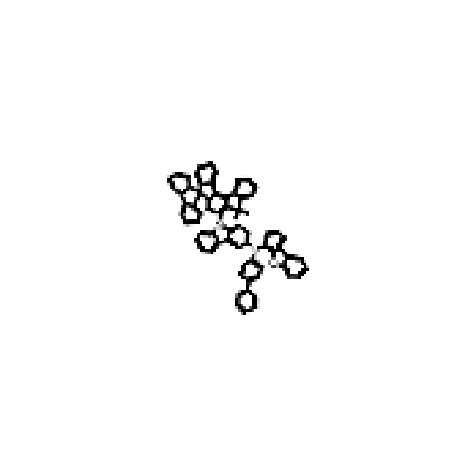 CC1(C)c2ccccc2-c2c3c(cc(-n4c5ccccc5c5cc(N(c6ccc(-c7ccccc7)cc6)c6cccc7c6oc6ccccc67)ccc54)c21)C1(c2ccccc2-3)c2ccccc2C2C=CC=CC21